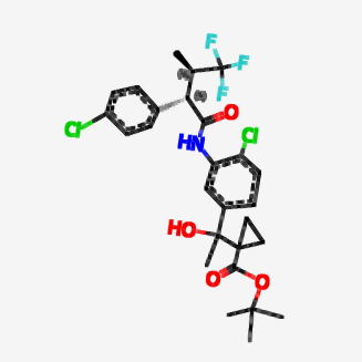 C[C@H]([C@H](C(=O)Nc1cc(C(C)(O)C2(C(=O)OC(C)(C)C)CC2)ccc1Cl)c1ccc(Cl)cc1)C(F)(F)F